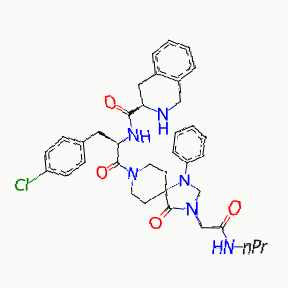 CCCNC(=O)CN1CN(c2ccccc2)C2(CCN(C(=O)[C@@H](Cc3ccc(Cl)cc3)NC(=O)[C@H]3Cc4ccccc4CN3)CC2)C1=O